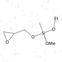 CCO[Si](C)(OC)OCC1CO1